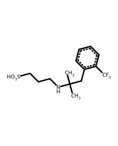 CC(C)(Cc1ccccc1C(F)(F)F)NCCCS(=O)(=O)O